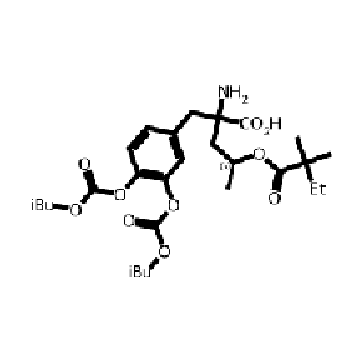 CCC(C)OC(=O)Oc1ccc(CC(N)(C[C@H](C)OC(=O)C(C)(C)CC)C(=O)O)cc1OC(=O)OC(C)CC